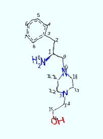 N[C@@H](Cc1ccccc1)CN1CCN(CCO)CC1